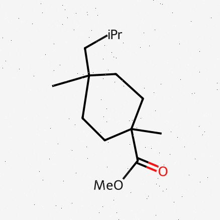 COC(=O)C1(C)CCC(C)(CC(C)C)CC1